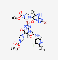 CCc1[nH]c2nc(Br)nn2c(=O)c1N1CCN(C(=O)OC(C)(C)C)CC1.CCc1c(N2CCN(C(=O)OC(C)(C)C)CC2)c(=O)n2nc(Br)nc2n1CC(=O)Nc1cc(F)c(C(F)(F)F)nc1C